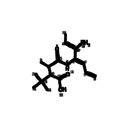 C=CC=C(NC(=O)C(C)N(C(=O)O)C(C)(C)C)C(N)=CC